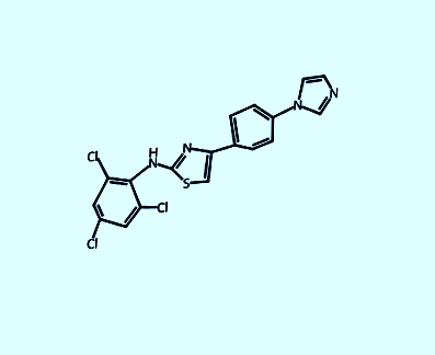 Clc1cc(Cl)c(Nc2nc(-c3ccc(-n4ccnc4)cc3)cs2)c(Cl)c1